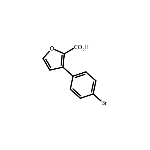 O=C(O)c1occc1-c1ccc(Br)cc1